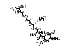 Cl.Cl.N=C(N)NCCOCCOCCNC(=N)NC(=O)c1nc(Cl)c(N)nc1N